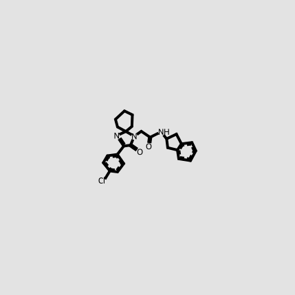 O=C(CN1C(=O)C(c2ccc(Cl)cc2)=NC12CCCCC2)NC1Cc2ccccc2C1